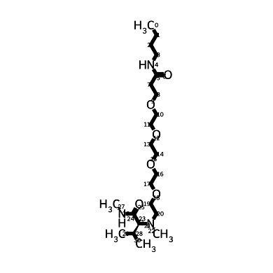 CCCCNC(=O)CCOCCOCCOCCOCCN(C)[C@H](C(=O)NC)C(C)C